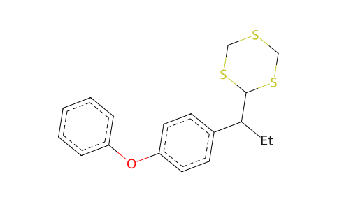 CCC(c1ccc(Oc2ccccc2)cc1)C1SCSCS1